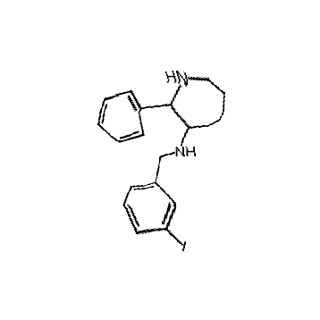 Ic1cccc(CNC2CCCNC2c2ccccc2)c1